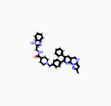 Cc1cc2ncc3cc(-c4ccccc4)c(-c4ccc(CN5CCC(C(=O)NCc6nc7ccccc7[nH]6)CC5)cc4)nc3n2n1